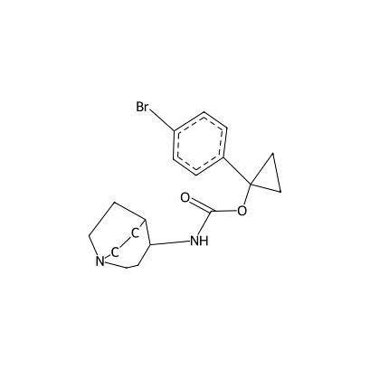 O=C(NC1CCN2CCC1CC2)OC1(c2ccc(Br)cc2)CC1